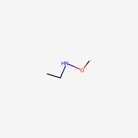 [CH]ONCC